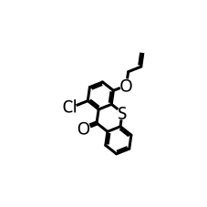 C=CCOc1ccc(Cl)c2c(=O)c3ccccc3sc12